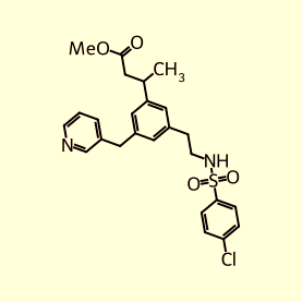 COC(=O)CC(C)c1cc(CCNS(=O)(=O)c2ccc(Cl)cc2)cc(Cc2cccnc2)c1